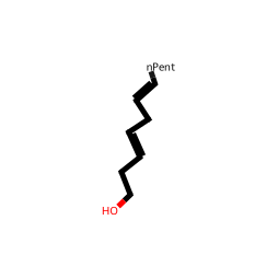 CCCCCC=CCC=CCCO